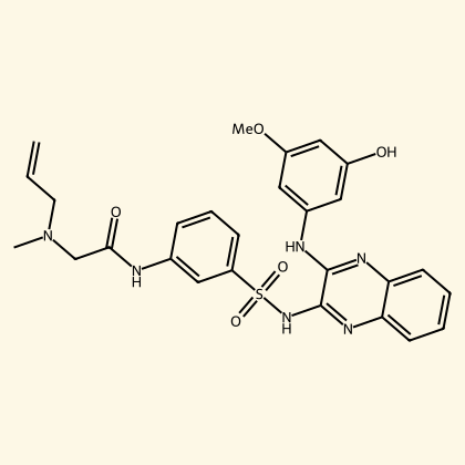 C=CCN(C)CC(=O)Nc1cccc(S(=O)(=O)Nc2nc3ccccc3nc2Nc2cc(O)cc(OC)c2)c1